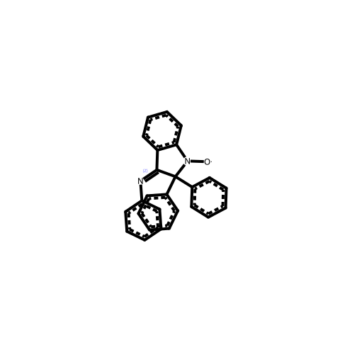 [O]N1c2ccccc2/C(=N/c2ccccc2)C1(c1ccccc1)c1ccccc1